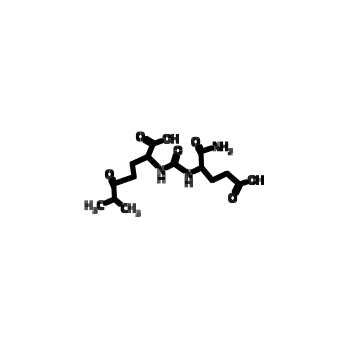 CC(C)C(=O)CCC(NC(=O)NC(CCC(=O)O)C(N)=O)C(=O)O